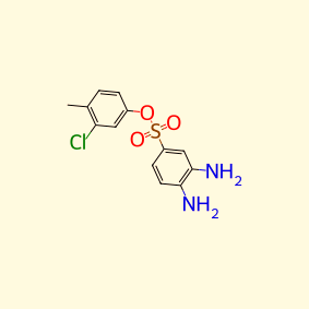 Cc1ccc(OS(=O)(=O)c2ccc(N)c(N)c2)cc1Cl